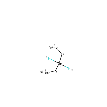 CCCCCC[CH2][Sn]([F])([F])[CH2]CCCCCC